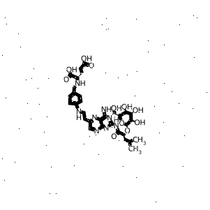 CC(C)C[C@H](O[C@@H]1O[C@H](CO)[C@@H](O)[C@H](O)[C@H]1O)C(=O)Nc1nc(N)c2nc(CCNc3ccc(CN[C@@H](CCC(=O)O)C(=O)O)cc3)cnc2n1